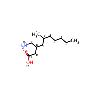 CCCCCC(C)CC(CN)CC(=O)O